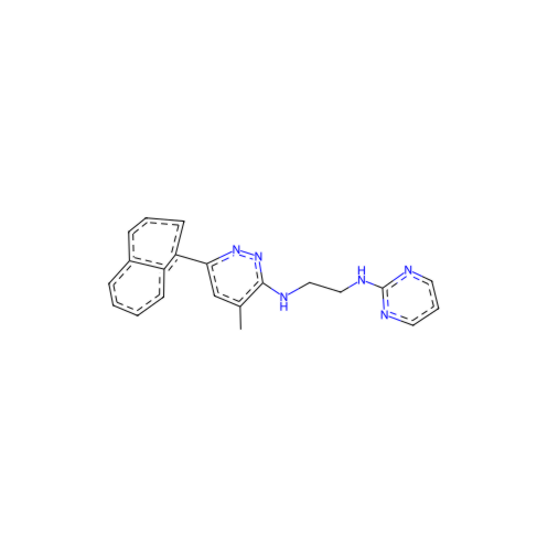 Cc1cc(-c2cccc3ccccc23)nnc1NCCNc1ncccn1